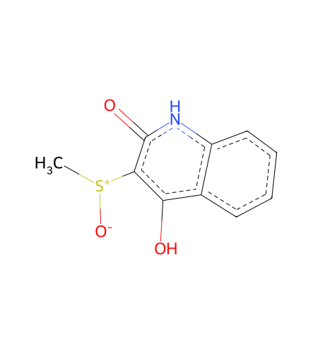 C[S+]([O-])c1c(O)c2ccccc2[nH]c1=O